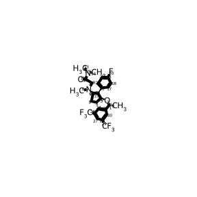 C[C@@H](O[C@H]1CC[C@@H](N(C)CC(=O)N(C)C)[C@H]1c1ccc(F)cc1)c1cc(C(F)(F)F)cc(C(F)(F)F)c1